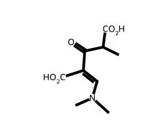 CC(C(=O)O)C(=O)/C(=C/N(C)C)C(=O)O